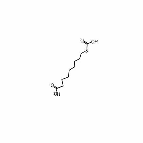 O=C(O)CCCCCCCCSC(=O)O